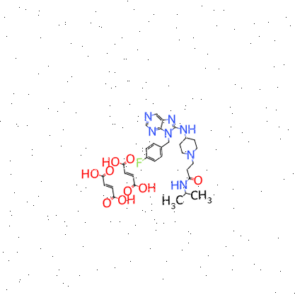 CC(C)NC(=O)CCN1CCC(Nc2nc3cncnc3n2Cc2ccc(F)cc2)CC1.O=C(O)C=CC(=O)O.O=C(O)C=CC(=O)O